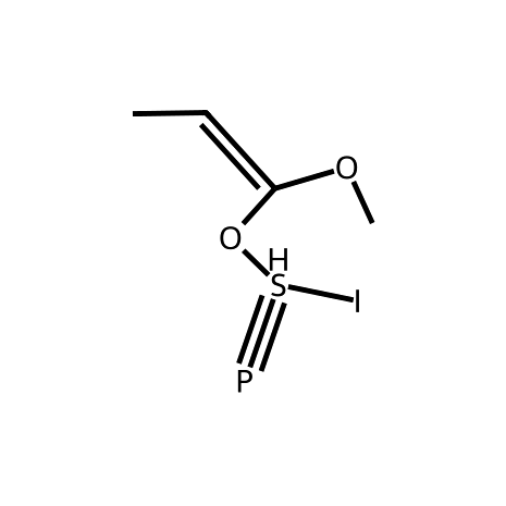 CC=C(OC)O[SH](#P)I